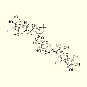 C[C@@H]1O[C@@H](O[C@H]2[C@H](O)[C@@H](O)[C@H](OC[C@H]3O[C@@H](OC(=O)[C@]45CCC(C)(C)C[C@H]4C4=CC[C@@H]6[C@@]7(C)C[C@@H](O)[C@H](O)[C@@](C)(CO)[C@@H]7[C@H](O)C[C@@]6(C)[C@]4(C)CC5)[C@H](O)[C@@H](O)[C@@H]3O)O[C@@H]2CO)[C@H](O)[C@H](O)[C@H]1O